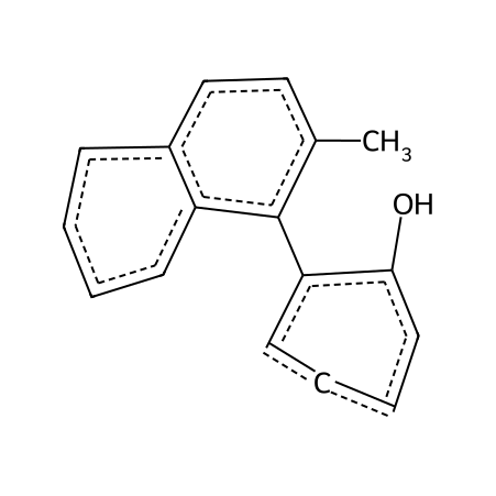 Cc1ccc2ccccc2c1-c1ccccc1O